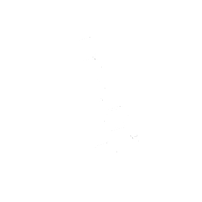 COC(=O)c1cc(OCCCN2CCCCC2)ccc1N